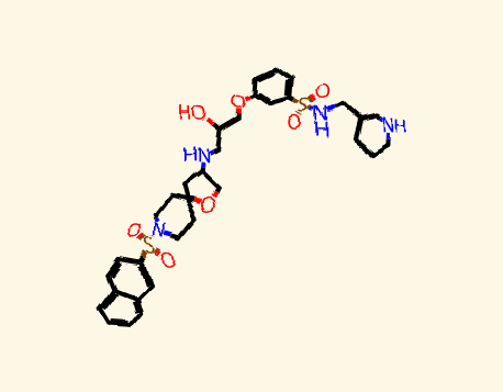 O=S(=O)(NCC1CCCNC1)c1cccc(OCC(O)CNC2COC3(CCN(S(=O)(=O)c4ccc5ccccc5c4)CC3)C2)c1